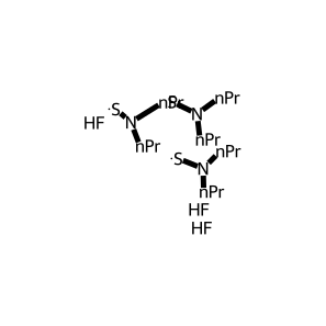 CCCN([S])CCC.CCCN([S])CCC.CCCN([S])CCC.F.F.F